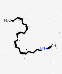 C=CNCCCC/C=C\C/C=C\C/C=C\C/C=C\C/C=C\CC